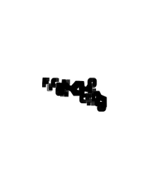 O=C(NCC1CCOC1)c1ccc(-c2noc(C(F)(F)F)n2)cc1Cl